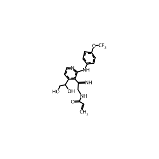 C=CC(=O)NCC(=N)c1c(C(O)CO)ccnc1Nc1ccc(OC(F)(F)F)cc1